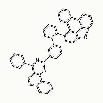 c1ccc(-c2nc(-c3cccc(-c4ccccc4-c4ccc5oc6cccc7c8ccccc8c4c5c67)c3)nc3c2ccc2ccccc23)cc1